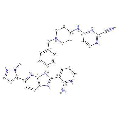 Cn1nccc1-c1ccc2nc(-c3cccnc3N)n(-c3ccc(CN4CCC(Nc5ccnc(C#N)n5)CC4)cc3)c2n1